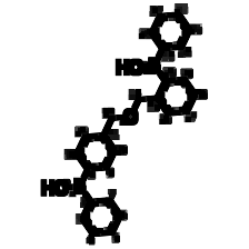 OB(c1ccccc1)c1ccc(COCc2ccccc2B(O)c2ccccc2)cc1